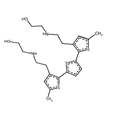 Cc1cc(CCNCCO)c(-c2ccc(-c3sc(C)cc3CCNCCO)s2)s1